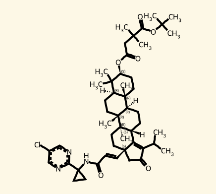 CC(C)C1=C2[C@H]3CC[C@@H]4[C@@]5(C)CC[C@H](OC(=O)CC(C)(C)C(=O)OC(C)(C)C)C(C)(C)[C@@H]5CC[C@@]4(C)[C@]3(C)CC[C@@]2(C=CC(=O)NC2(c3ncc(Cl)cn3)CC2)CC1=O